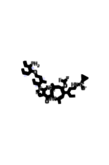 C=C/C(P)=C(\C=C/C)OC/C=C(C)\C(=C/C)n1ncc(C(=O)c2cc(C)cc(OC(F)F)c(C(CC)CCN[S+]([O-])C3CC3)cc(C)[nH]2)c1N